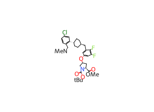 CNCc1ccc(Cl)cc1[C@H]1CC[C@H](Cc2cc(O[C@H]3C[C@@H](C(=O)OC)N(C(=O)OC(C)(C)C)C3)cc(F)c2F)CC1